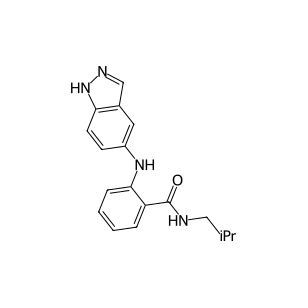 CC(C)CNC(=O)c1ccccc1Nc1ccc2[nH]ncc2c1